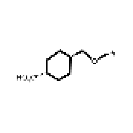 CC(C)OC[C@H]1CC[C@H](C(=O)O)CC1